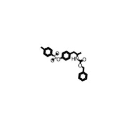 Cc1ccc(S(=O)(=O)Oc2ccc(CC(C)NC(=O)OCc3ccccc3)cc2)cc1